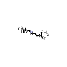 CCCCN/C=N/CCN(C)CC